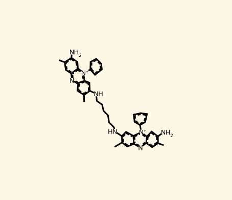 Cc1cc2nc3cc(C)c(NCCCCCCNc4cc5c(cc4C)nc4cc(C)c(N)cc4[n+]5-c4ccccc4)cc3[n+](-c3ccccc3)c2cc1N